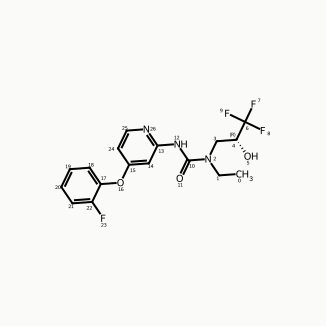 CCN(C[C@@H](O)C(F)(F)F)C(=O)Nc1cc(Oc2ccccc2F)ccn1